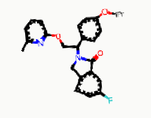 Cc1cccc(OCC(c2ccc(OC(C)C)cc2)N2Cc3ccc(F)cc3C2=O)n1